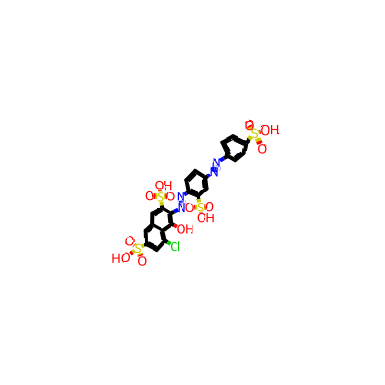 O=S(=O)(O)c1ccc(/N=N/c2ccc(/N=N/c3c(S(=O)(=O)O)cc4cc(S(=O)(=O)O)cc(Cl)c4c3O)c(S(=O)(=O)O)c2)cc1